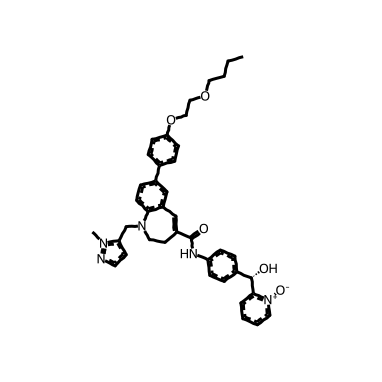 CCCCOCCOc1ccc(-c2ccc3c(c2)C=C(C(=O)Nc2ccc([C@H](O)c4cccc[n+]4[O-])cc2)CCN3Cc2ccnn2C)cc1